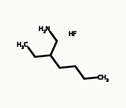 CCCCC(CC)CN.F